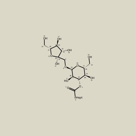 CCCCCCCC(=O)O[C@@H]1[C@@H](O)[C@@H](OC[C@@]2(O)O[C@H](CO)[C@@H](O)[C@@H]2O)O[C@H](CO)[C@H]1O